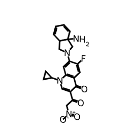 NC12C=CC=CC1CN(c1cc3c(cc1F)c(=O)c(C(=O)C[N+](=O)[O-])cn3C1CC1)C2